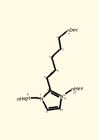 CCCCCCCCCCCCCCCc1n(CCCCCCC)cc[n+]1CCCCCC